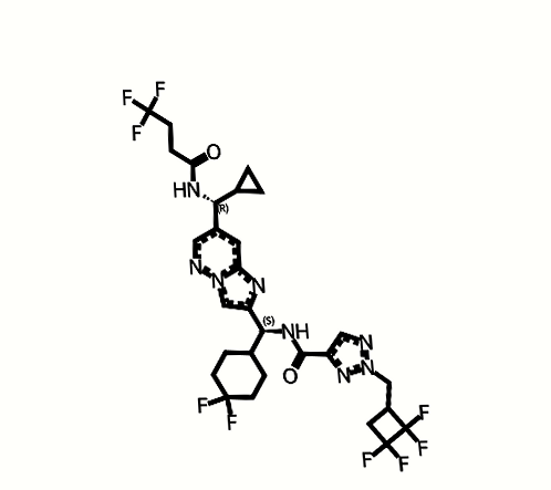 O=C(CCC(F)(F)F)N[C@@H](c1cnn2cc([C@@H](NC(=O)c3cnn(CC4CC(F)(F)C4(F)F)n3)C3CCC(F)(F)CC3)nc2c1)C1CC1